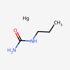 CCCNC(N)=O.[Hg]